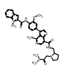 COc1cc(-c2csc3c(C(=O)NCC4CCCN4CC(=O)N(C)C)cnc(N)c23)ccc1NC(=O)c1cc2ccccc2n1C